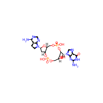 Nc1nc2c(ncn2[C@@H]2O[C@@H]3COP(=O)(O)O[C@@H]4C[C@H](n5ccc6c(N)ncnc65)O[C@@H]4COP(=O)(O)OC2[C@H]3O)c(=O)[nH]1